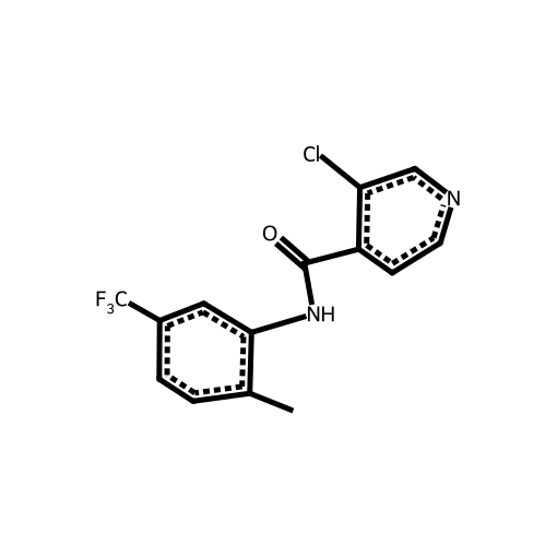 Cc1ccc(C(F)(F)F)cc1NC(=O)c1ccncc1Cl